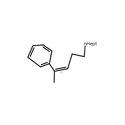 CCCCCCCCC/C=C(/C)c1ccccc1